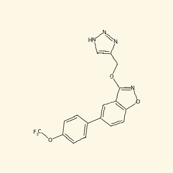 FC(F)(F)Oc1ccc(-c2ccc3onc(OCc4c[nH]nn4)c3c2)cc1